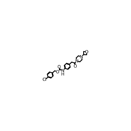 O=C(Nc1ccc(CC(=O)N2CCN(C3COC3)CC2)cc1)OCc1ccc(Cl)cc1